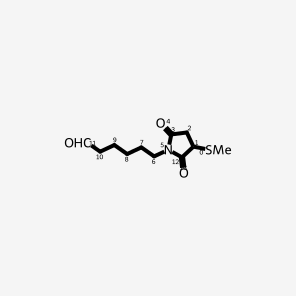 CSC1CC(=O)N(CCCCCC=O)C1=O